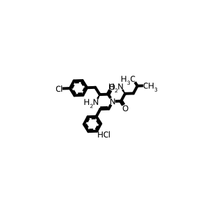 CC(C)C[C@H](N)C(=O)N(C=Cc1ccccc1)C(=O)[C@@H](N)Cc1ccc(Cl)cc1.Cl